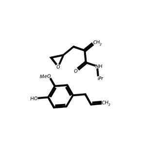 C=C(CC1CO1)C(=O)NC(C)C.C=CCc1ccc(O)c(OC)c1